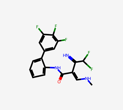 CN/C=C(\C(=N)C(F)F)C(=O)Nc1ccccc1-c1cc(F)c(F)c(F)c1